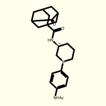 CC(=O)Nc1ccc(N2CCC[C@H](NC(=O)C34CC5CC(C3)C(=O)C(C5)C4)C2)cc1